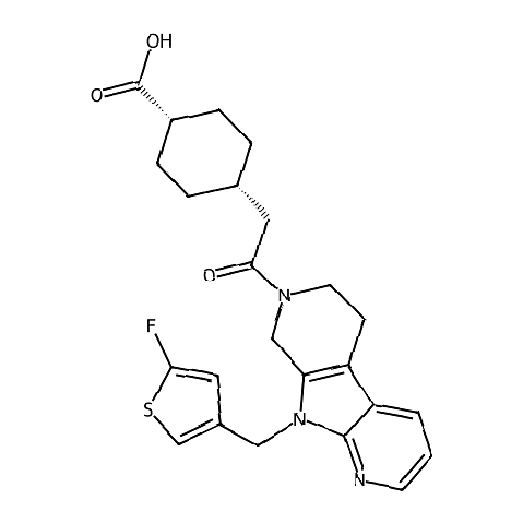 O=C(C[C@H]1CC[C@@H](C(=O)O)CC1)N1CCc2c(n(Cc3csc(F)c3)c3ncccc23)C1